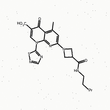 Cc1cc(N2CC(C(=O)NCCC(C)C)C2)nc2c1c(=O)c(C(=O)O)cn2-c1ncns1